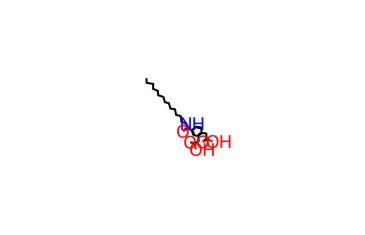 CCCCCCCCCCCCCCNC(=O)c1ccc(CC(=O)O)c(CC(=O)O)c1